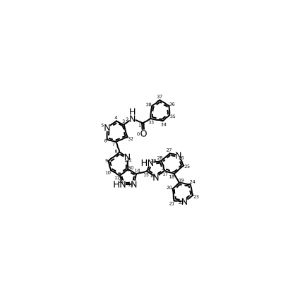 O=C(Nc1cncc(-c2ccc3[nH]nc(-c4nc5c(-c6ccncc6)cncc5[nH]4)c3n2)c1)c1ccccc1